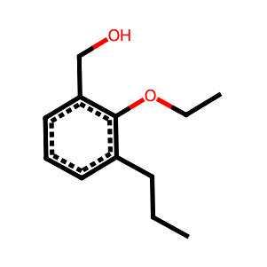 CCCc1cccc(CO)c1OCC